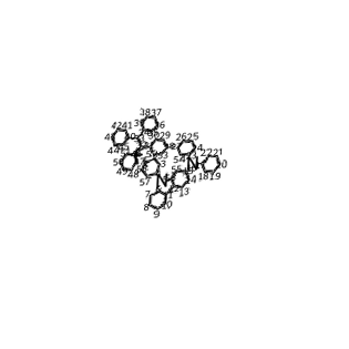 Fc1ccc(-n2c3ccccc3c3ccc(N(c4ccccc4)c4cccc(-c5ccc(C(=C(c6ccccc6)c6ccccc6)c6ccccc6)cc5)c4)cc32)cc1